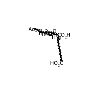 CC(=O)COCCOCCNC(=O)NC1CCN(C(=O)CC[C@H](NC(=O)CCCCCCCCCCCCCCCCC(=O)O)C(=O)O)CC1